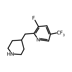 Fc1cc(C(F)(F)F)cnc1CC1CCNCC1